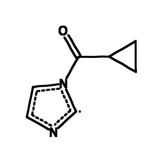 O=C(C1CC1)n1[c]ncc1